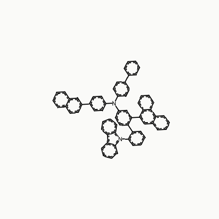 c1ccc(-c2ccc(N(c3ccc(-c4ccc5ccccc5c4)cc3)c3ccc(-c4ccccc4-n4c5ccccc5c5ccccc54)c(-c4cc5ccccc5c5ccccc45)c3)cc2)cc1